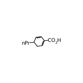 CCCC1C=CC(C(=O)O)=CC1